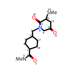 CNC(=O)C1CCC(CN2CC(=O)CC(SC)C2=O)CC1